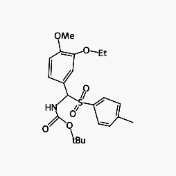 CCOc1cc(C(NC(=O)OC(C)(C)C)S(=O)(=O)c2ccc(C)cc2)ccc1OC